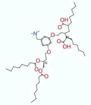 CCCCCCCC(=O)OC[C@H](CCOc1cc(CN(C)C)cc(OCCC(CC(CCCCCC)C(=O)O)[C@@H](CCCCCC)C(=O)O)c1)OC(=O)CCCCCCC